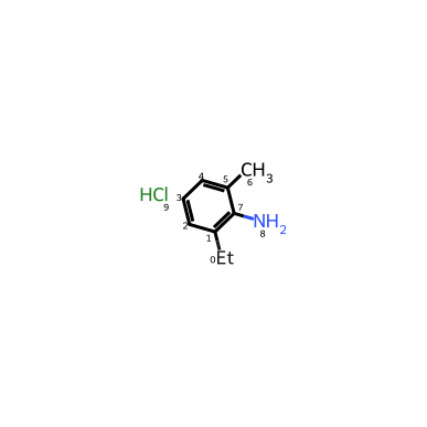 CCc1cccc(C)c1N.Cl